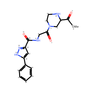 COC(=O)C1CN(C(=O)CNC(=O)c2cc(-c3ccccc3)[nH]n2)CCN1